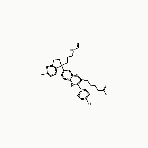 C=CNCCCC1(c2ccc3nc(-c4ccc(Cl)cc4)c(CCCCC(=C)C)nc3c2)CCc2cc(C)ccc21